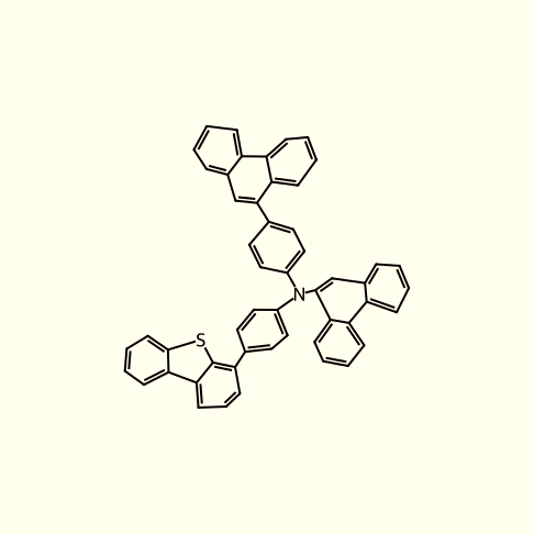 c1ccc2c(c1)cc(-c1ccc(N(c3ccc(-c4cccc5c4sc4ccccc45)cc3)c3cc4ccccc4c4ccccc34)cc1)c1ccccc12